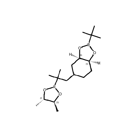 C[C@@H]1OB(C(C)(C)CC2CC[C@@H]3OB(C(C)(C)C)O[C@@H]3C2)O[C@H]1C